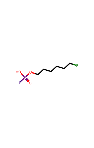 O=P(O)(I)OCCCCCCF